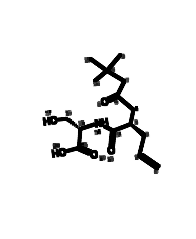 C=CC[C@H](CC(=O)CC(C)(C)C)C(=O)N[C@@H](CO)C(=O)O